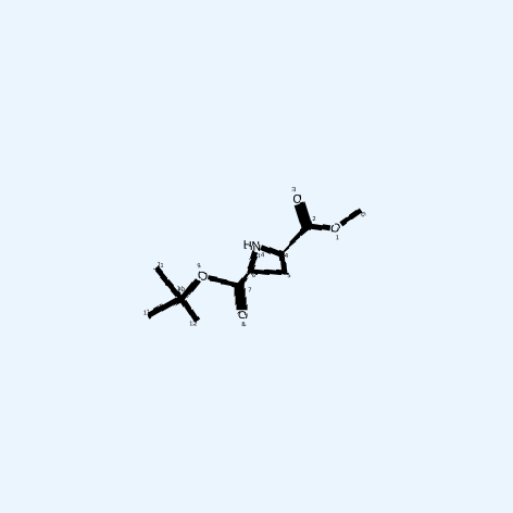 COC(=O)[C@H]1C[C@@H](C(=O)OC(C)(C)C)N1